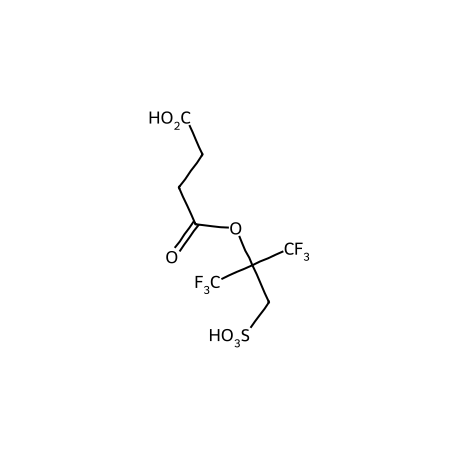 O=C(O)CCC(=O)OC(CS(=O)(=O)O)(C(F)(F)F)C(F)(F)F